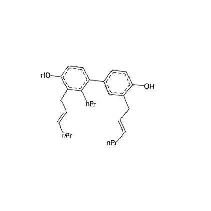 CCCC=CCc1cc(-c2ccc(O)c(CC=CCCC)c2CCC)ccc1O